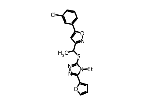 CCn1c(SC(C)c2cc(-c3cccc(Cl)c3)on2)nnc1-c1ccco1